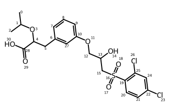 CC(C)OC(Cc1cccc(OCC(O)CS(=O)(=O)c2ccc(Cl)cc2Cl)c1)C(=O)O